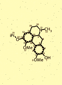 COc1cc2c(cc1O)CC1c3c(cc(OC(C)C)c(OC)c3-2)CCN1C